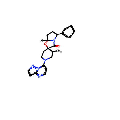 CC1CN(c2ccnc3ccnn23)CCC12O[C@@H]1CC[C@@H](c3ccccc3)N1C2=O